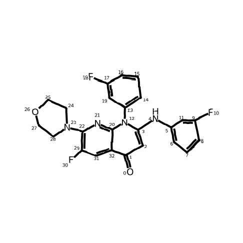 O=c1cc(Nc2cccc(F)c2)n(-c2cccc(F)c2)c2nc(N3CCOCC3)c(F)cc12